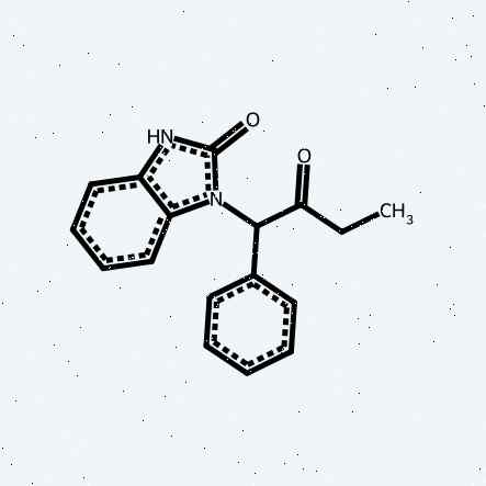 CCC(=O)C(c1ccccc1)n1c(=O)[nH]c2ccccc21